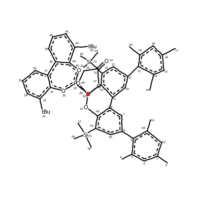 Cc1cc(C)c(-c2cc(-c3cc(-c4c(C)cc(C)cc4C)cc([Si](C)(C)C)c3Op3oc4c(C(C)(C)C)cccc4c4cccc(C(C)(C)C)c4o3)c(OP3OCC(=O)O3)c([Si](C)(C)C)c2)c(C)c1